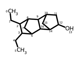 CCC1C(CC)C2CC1C1C3CC(O)C(C3)C21